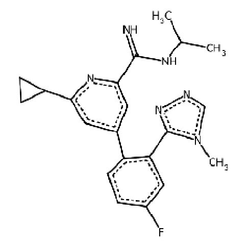 CC(C)NC(=N)c1cc(-c2ccc(F)cc2-c2nncn2C)cc(C2CC2)n1